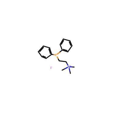 C[N+](C)(C)CCP(c1ccccc1)c1ccccc1.[I-]